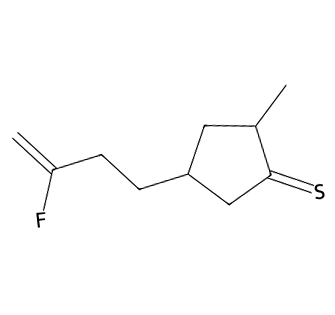 C=C(F)CCC1CC(=S)C(C)C1